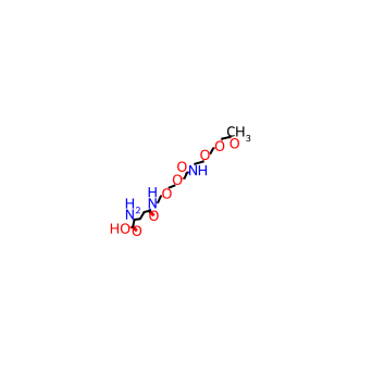 CC(=O)COCCOCCNC(=O)COCCOCCNC(=O)CC[C@H](N)C(=O)O